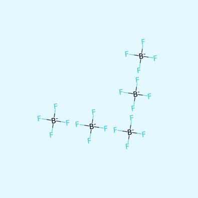 F[B-](F)(F)F.F[B-](F)(F)F.F[B-](F)(F)F.F[B-](F)(F)F.F[B-](F)(F)F